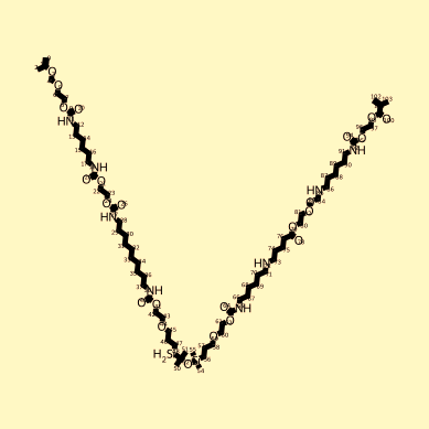 C=C(C)OCOCCOC(=O)NCCCCCCNC(=O)OCCOC(=O)NCCCCCCCCCCNC(=O)OCCOCCC[SiH2]C(C)(C)O[Si](C)(C)CCCOCCOC(=O)NCCCCCCNCCCCC(=O)OCCOOCNCCCCCCNC(=O)OCCOC(=O)C(=C)C